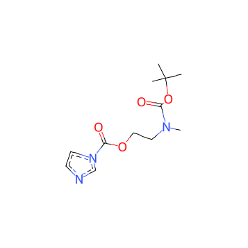 CN(CCOC(=O)n1ccnc1)C(=O)OC(C)(C)C